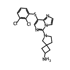 NC1CC2(CCN(c3ncc(Sc4cccc(Cl)c4Cl)c4nccn34)C2)C1